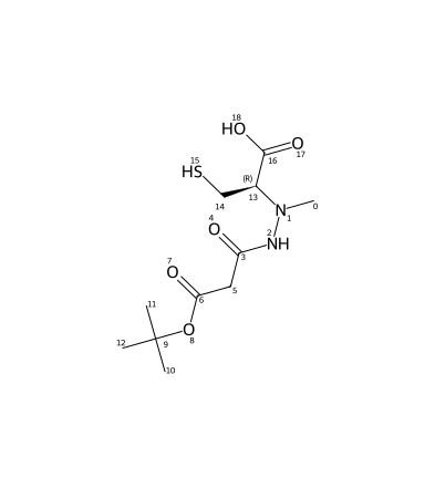 CN(NC(=O)CC(=O)OC(C)(C)C)[C@@H](CS)C(=O)O